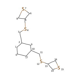 C1CC(CSC2CSC2)CC(CSC2CSC2)C1